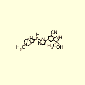 CN1CCn2nc(Nc3nccc(-c4cc(C#N)c5c(c4)C(C)(CO)CN5)n3)cc2C1